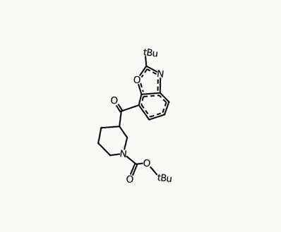 CC(C)(C)OC(=O)N1CCCC(C(=O)c2cccc3nc(C(C)(C)C)oc23)C1